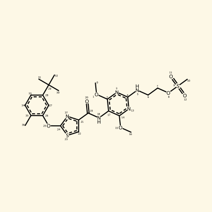 COc1nc(NCCOS(C)(=O)=O)nc(OC)c1NC(=O)c1csc(Oc2cc(C(C)(C)C)ccc2C)n1